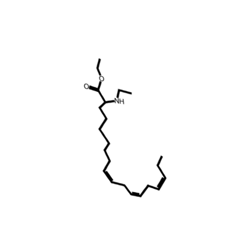 CC/C=C\C/C=C\C/C=C\CCCCCCC(NCC)C(=O)OCC